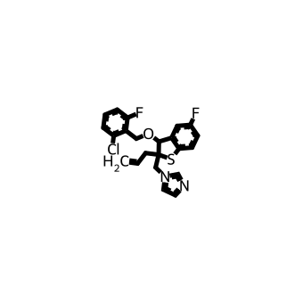 C=CCC1(Cn2ccnc2)Sc2ccc(F)cc2C1OCc1c(F)cccc1Cl